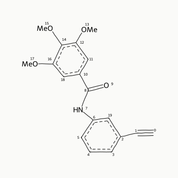 C#Cc1cccc(NC(=O)c2cc(OC)c(OC)c(OC)c2)c1